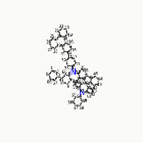 c1ccc(-c2cccc(N(c3ccc(-c4ccc(-c5ccccc5-c5ccccc5)cc4)cc3)c3ccc4c(c3)C3(c5ccccc5-4)c4ccccc4N(c4ccccc4)c4ccccc43)c2)cc1